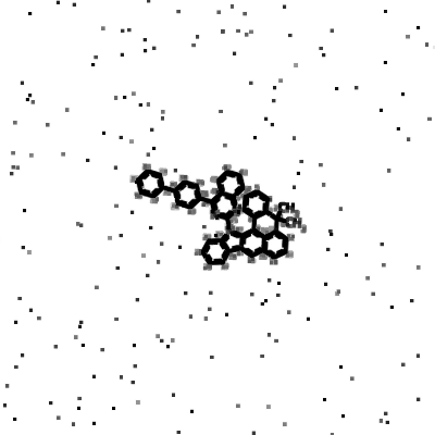 CC1(C)c2ccccc2-c2c3c1cccc3cc1c3ccccc3n(-c3nc(-c4ccc(-c5ccccc5)cc4)c4ccccc4n3)c21